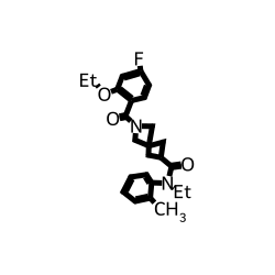 CCOc1cc(F)ccc1C(=O)N1CC2(CC(C(=O)N(CC)c3ccccc3C)C2)C1